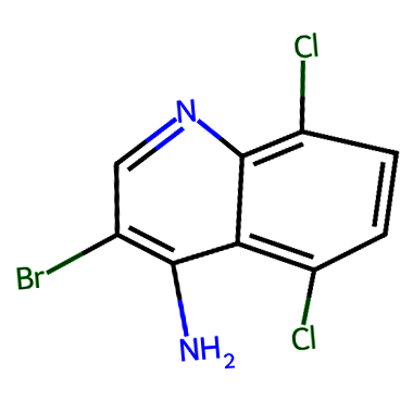 Nc1c(Br)cnc2c(Cl)ccc(Cl)c12